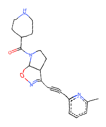 Cc1cccc(C#CC2=NOC3C2CCN3C(=O)C2CCNCC2)n1